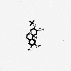 COc1cc2c(cc1OC)[C@H]1C[C@H](O)[C@H](OC(C)(C)C)CN1CC2